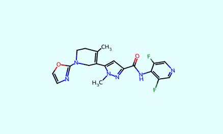 CC1=C(c2cc(C(=O)Nc3c(F)cncc3F)nn2C)CN(c2ncco2)CC1